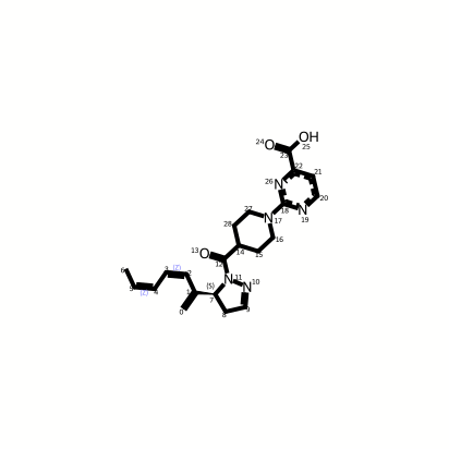 C=C(/C=C\C=C/C)[C@@H]1CC=NN1C(=O)C1CCN(c2nccc(C(=O)O)n2)CC1